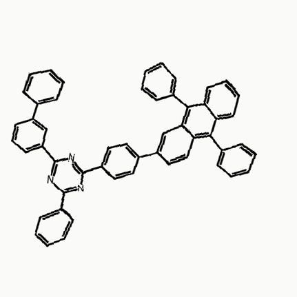 c1ccc(-c2cccc(-c3nc(-c4ccccc4)nc(-c4ccc(-c5ccc6c(-c7ccccc7)c7ccccc7c(-c7ccccc7)c6c5)cc4)n3)c2)cc1